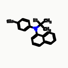 CCC(C)(C)N(c1ccc(C(C)(C)C)cc1)c1cccc2ccccc12